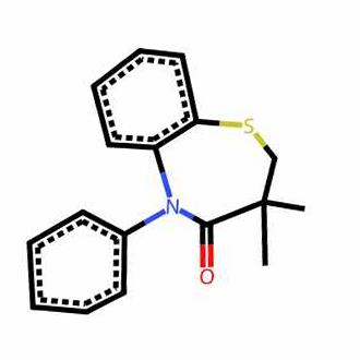 CC1(C)CSc2ccccc2N(c2ccccc2)C1=O